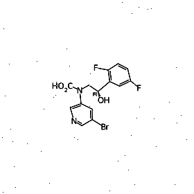 O=C(O)N(C[C@H](O)c1cc(F)ccc1F)c1cncc(Br)c1